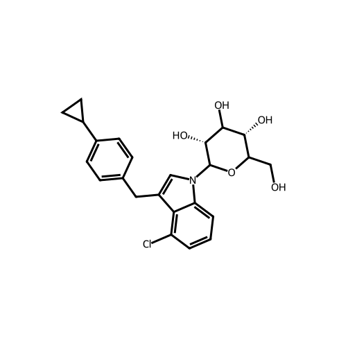 OCC1OC(n2cc(Cc3ccc(C4CC4)cc3)c3c(Cl)cccc32)[C@H](O)C(O)[C@@H]1O